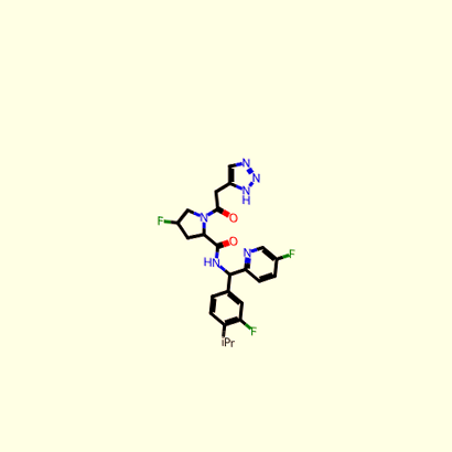 CC(C)c1ccc(C(NC(=O)C2CC(F)CN2C(=O)Cc2cnn[nH]2)c2ccc(F)cn2)cc1F